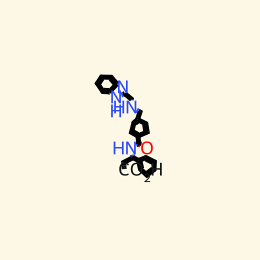 O=C(O)CC(NC(=O)c1ccc(CNCc2nc3ccccc3[nH]2)cc1)c1ccccc1